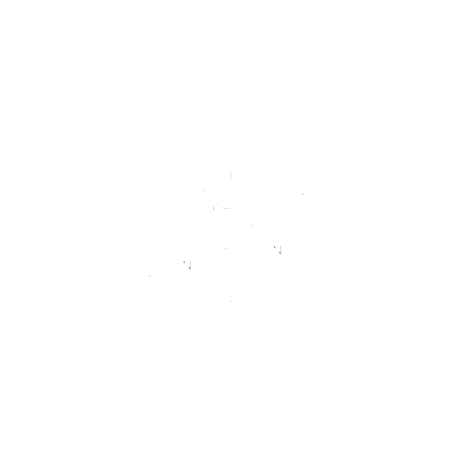 CC1(C)c2ccccc2-c2ccc(N(c3ccccc3)c3cccc(-c4nc5ccccc5s4)c3)cc21